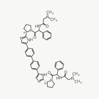 CN(C)CC(=O)NC(C(=O)N1CCC[C@@H]1c1ncc(-c2ccc(-c3ccc(-c4cnc([C@H]5CCCN5C(=O)C(NC(=O)CN(C)C)c5ccccc5)[nH]4)cc3)cc2)[nH]1)c1ccccc1